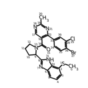 CSc1cccc2nc(C3CCCN3C(=O)c3cnc(C)nc3-c3ccc(Br)c(Cl)c3)[nH]c12